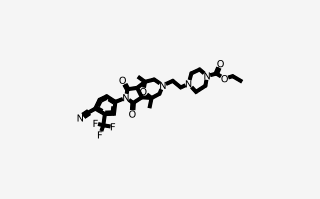 CCOC(=O)N1CCN(CCN2CC3(C)OC(C)(C2)C2C(=O)N(c4ccc(C#N)c(C(F)(F)F)c4)C(=O)C23)CC1